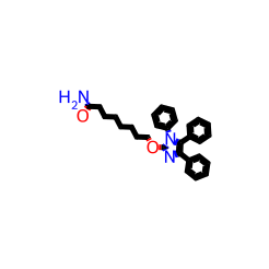 NC(=O)CCCCCCCOc1nc(-c2ccccc2)c(-c2ccccc2)n1-c1ccccc1